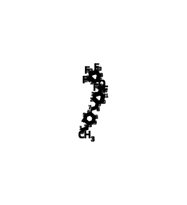 CCC[C@H]1CC[C@H](CCc2ccc(C(F)(F)Oc3cc(F)c(F)c(F)c3)cc2)CC1